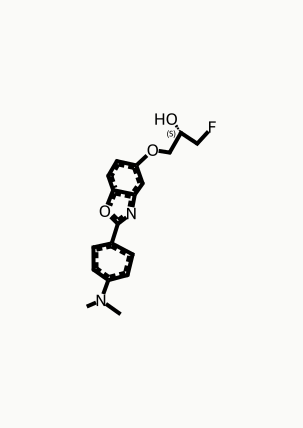 CN(C)c1ccc(-c2nc3cc(OC[C@H](O)CF)ccc3o2)cc1